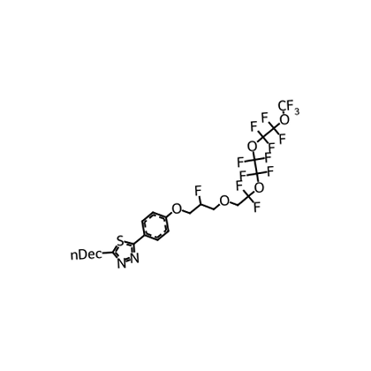 CCCCCCCCCCc1nnc(-c2ccc(OCC(F)COCC(F)(F)OC(F)(F)C(F)(F)OC(F)(F)C(F)(F)OC(F)(F)F)cc2)s1